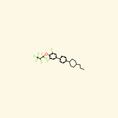 CCCC1CCC(c2ccc(-c3cc(F)c(OC(F)(F)C(F)C(F)(F)F)c(F)c3)cc2)CC1